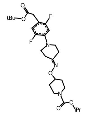 CC(C)OC(=O)N1CCC(ON=C2CCN(c3cc(F)c(CC(=O)OC(C)(C)C)cc3F)CC2)CC1